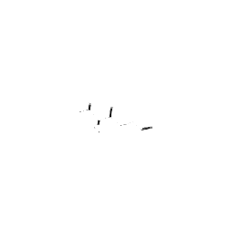 C=CCCC(=O)C(=N)C(C)=O